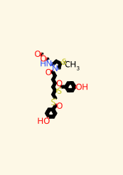 CSC1CC(NCOC=O)N(C(=O)CCCCC(CCSC(=O)c2ccc(O)cc2)SC(=O)c2ccc(O)cc2)C1